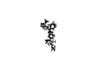 O=C(CCC(F)(F)F)N[C@@H](c1cnn2cc([C@@H](NC(=O)c3ccnn3C3CC3)C3CCC(F)(F)CC3)nc2c1)C1CC1